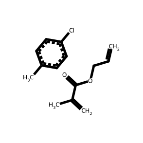 C=CCOC(=O)C(=C)C.Cc1ccc(Cl)cc1